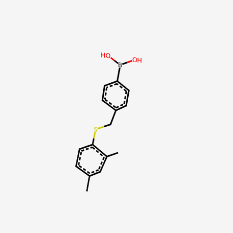 Cc1ccc(SCc2ccc(B(O)O)cc2)c(C)c1